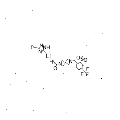 CS(=O)(=O)c1cc(C(F)(F)F)ccc1CN1CC2(C1)CN(C(=O)N1CC3(CC(c4nc(C5CC5)n[nH]4)C3)C1)C2